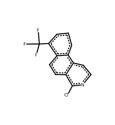 FC(F)(F)c1cccc2c1ccc1c(Cl)nccc12